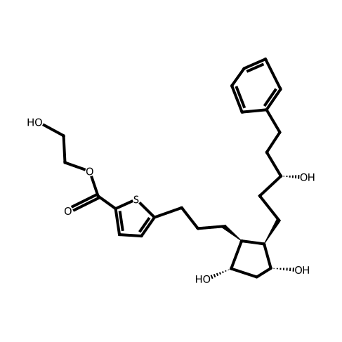 O=C(OCCO)c1ccc(CCC[C@H]2[C@@H](CC[C@@H](O)CCc3ccccc3)[C@H](O)C[C@@H]2O)s1